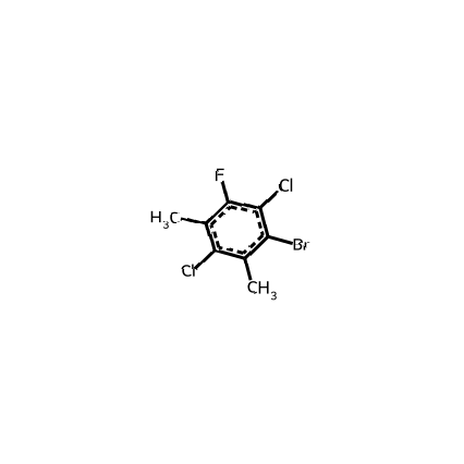 Cc1c(F)c(Cl)c(Br)c(C)c1Cl